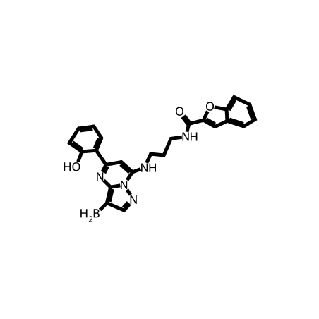 Bc1cnn2c(NCCCNC(=O)c3cc4ccccc4o3)cc(-c3ccccc3O)nc12